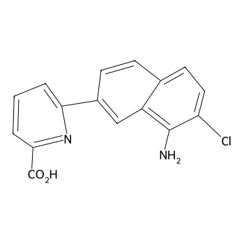 Nc1c(Cl)ccc2ccc(-c3cccc(C(=O)O)n3)cc12